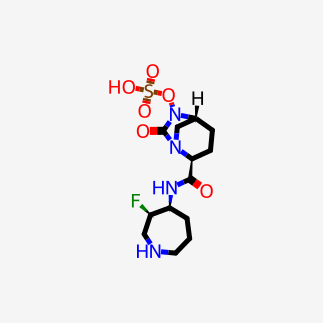 O=C(N[C@H]1CCCNC[C@H]1F)[C@@H]1CC[C@@H]2CN1C(=O)N2OS(=O)(=O)O